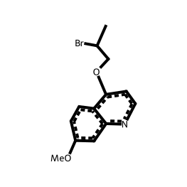 COc1ccc2c(OCC(C)Br)ccnc2c1